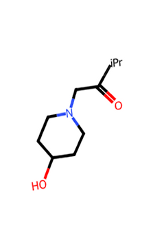 CC(C)C(=O)CN1CCC(O)CC1